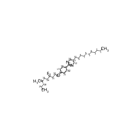 CCCCCCCCCCCc1cnc(-c2ccc(OCCC(F)CCC(C)CCC)cc2)nc1